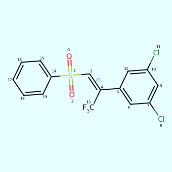 O=S(=O)(/C=C(/c1cc(Cl)cc(Cl)c1)C(F)(F)F)c1ccccc1